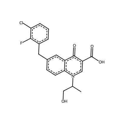 CC(CO)n1cc(C(=O)O)c(=O)c2cc(Cc3cccc(Cl)c3F)ccc21